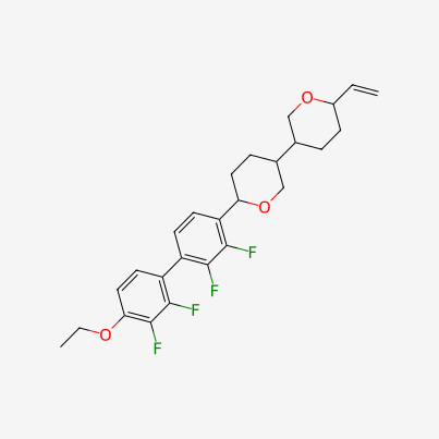 C=CC1CCC(C2CCC(c3ccc(-c4ccc(OCC)c(F)c4F)c(F)c3F)OC2)CO1